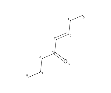 CC/C=C/C(=O)CCC